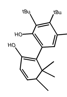 Cc1cc(C2=C(O)C=CC(C)C2(C)C)c(O)c(C(C)(C)C)c1C(C)(C)C